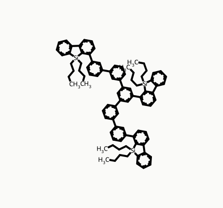 CCCC[Si]1(CCCC)c2ccccc2-c2cccc(-c3cccc(-c4cccc(-c5cc(-c6cccc(-c7cccc(-c8cccc9c8[Si](CCCC)(CCCC)c8ccccc8-9)c7)c6)cc(-c6cccc7c6[Si](CCCC)(CCCC)c6ccccc6-7)c5)c4)c3)c21